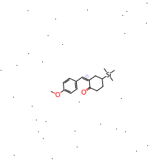 COc1ccc(/C=C2/CC([Si](C)(C)C)CCC2=O)cc1